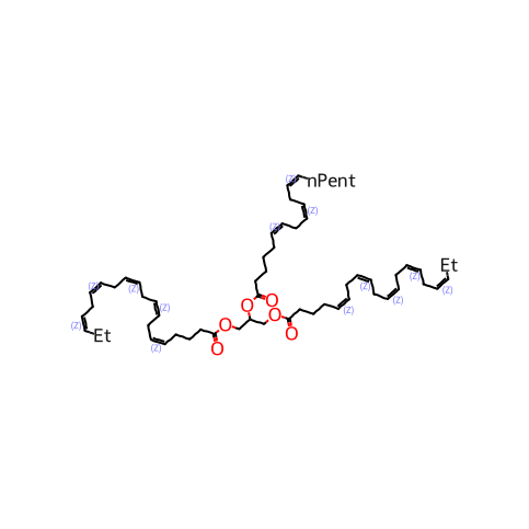 CC/C=C\C/C=C\C/C=C\C/C=C\C/C=C\CCCC(=O)OCC(COC(=O)CCC/C=C\C/C=C\C/C=C\C/C=C\C/C=C\CC)OC(=O)CCCC/C=C\C/C=C\C/C=C\CCCCC